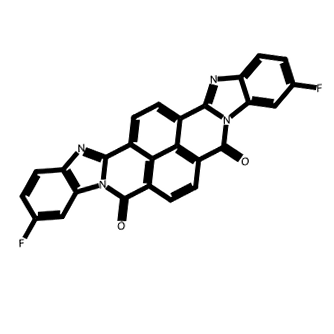 O=c1c2ccc3c(=O)n4c5cc(F)ccc5nc4c4ccc(c2c34)c2nc3ccc(F)cc3n12